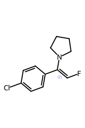 F/C=C(/c1ccc(Cl)cc1)N1CCCC1